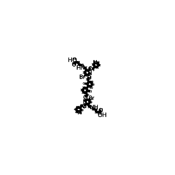 Cc1c(COc2nc(OCc3cccnc3)c(CNCCCC(=O)O)cc2Br)cccc1-c1cccc(COc2nc(OCc3cccnc3)c(CNCCCC(=O)O)cc2Br)c1C